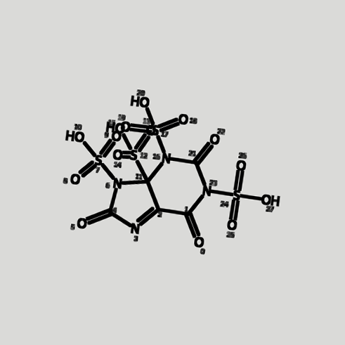 O=C1C2=NC(=O)N(S(=O)(=O)O)C2(S(=O)(=O)O)N(S(=O)(=O)O)C(=O)N1S(=O)(=O)O